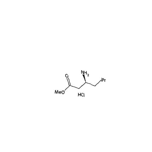 COC(=O)C[C@@H](N)CC(C)C.Cl